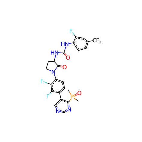 CP(C)(=O)c1ncncc1-c1ccc(N2CCC(NC(=O)Nc3ccc(C(F)(F)F)cc3F)C2=O)c(F)c1F